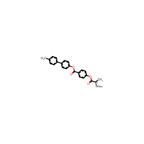 CCCCCC[C@H](C)C(=O)Oc1ccc(C(=O)Oc2ccc(-c3ccc(C)cc3)cc2)cc1